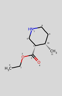 CCOC(=O)[C@@H]1CNCC[C@@H]1C